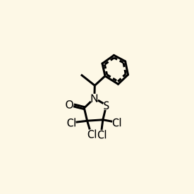 CC(c1ccccc1)N1SC(Cl)(Cl)C(Cl)(Cl)C1=O